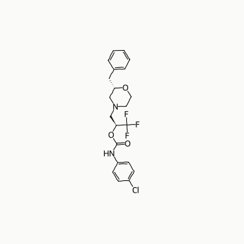 O=C(Nc1ccc(Cl)cc1)O[C@@H](CN1CCO[C@@H](Cc2ccccc2)C1)C(F)(F)F